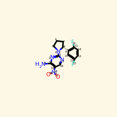 Nc1nc(N2CCC[C@@H]2c2cc(F)ccc2F)ncc1[N+](=O)[O-]